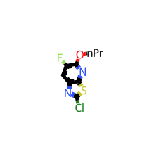 C[CH]COc1nc2sc(Cl)nc2cc1F